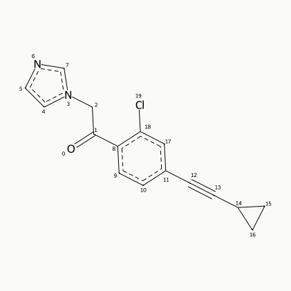 O=C(Cn1ccnc1)c1ccc(C#CC2CC2)cc1Cl